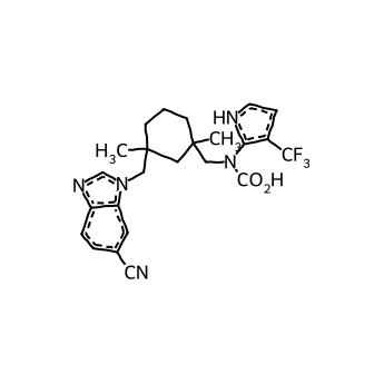 CC1(CN(C(=O)O)c2[nH]ccc2C(F)(F)F)CCCC(C)(Cn2cnc3ccc(C#N)cc32)C1